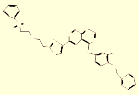 O=S(=O)(CCNCCc1nc(-c2cc3c(Nc4ccc(OCc5ccccc5)c(Cl)c4)ncnc3cn2)cs1)c1ccccc1